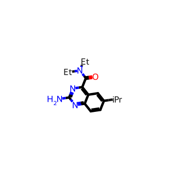 CCN(CC)C(=O)c1nc(N)nc2ccc(C(C)C)cc12